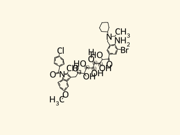 CCN(Cc1cc(C(=O)C(O)[C@@H](O)[C@@H](O)[C@H](O)[C@H](O)C(O)C(=O)Cc2c(C)n(C(=O)c3ccc(Cl)cc3)c3ccc(OC)cc23)cc(Br)c1N)C1CCCCC1